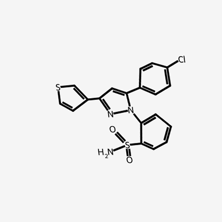 NS(=O)(=O)c1ccccc1-n1nc(-c2ccsc2)cc1-c1ccc(Cl)cc1